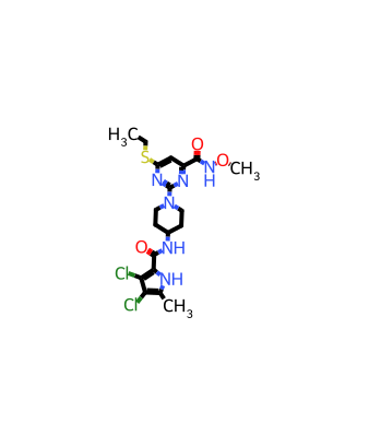 CCSc1cc(C(=O)NOC)nc(N2CCC(NC(=O)c3[nH]c(C)c(Cl)c3Cl)CC2)n1